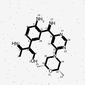 CC(=N)/C(=C\O)c1ccc(N)c(C(=N)c2cc(N3C[C@@H](C)O[C@@H](C)C3)ncn2)c1